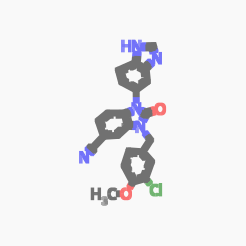 COc1ccc(Cn2c(=O)n(-c3ccc4[nH]cnc4c3)c3ccc(C#N)cc32)cc1Cl